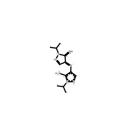 CC(C)N1N=CC(=Nc2cnn(C(C)C)c2N)C1=N